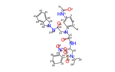 CC(=O)Nc1ccc(C)c(N(CC(=O)NCCN(C(C)C)S(=O)(=O)c2ccccc2[N+](=O)[O-])CC(=O)N(C)N2Cc3ccccc3C2)c1